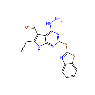 CCc1[nH]c2nc(Sc3nc4ccccc4s3)nc(NN)c2c1C=O